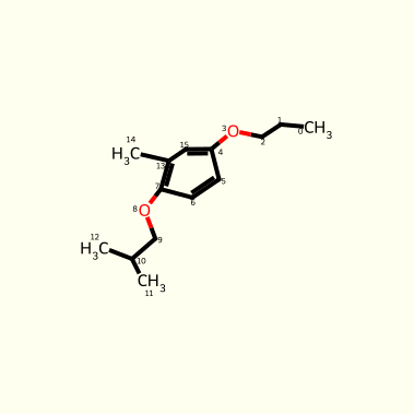 CCCOc1ccc(OCC(C)C)c(C)c1